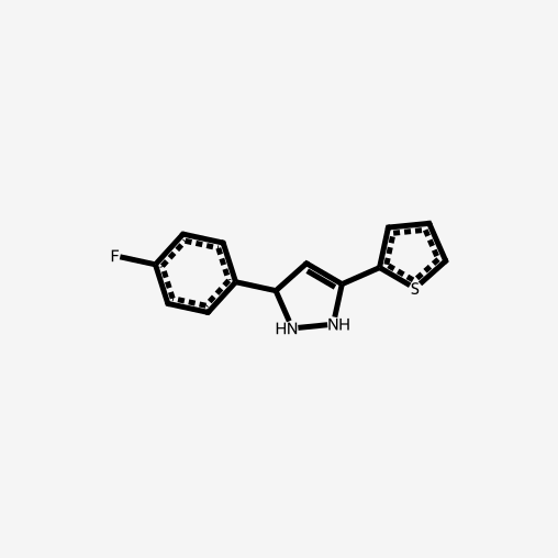 Fc1ccc(C2C=C(c3cccs3)NN2)cc1